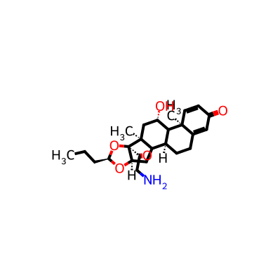 CCC[C@@H]1O[C@@H]2CC3[C@@H]4CCC5=CC(=O)C=C[C@]5(C)C4[C@@H](O)C[C@]3(C)[C@]2(C(=O)CN)O1